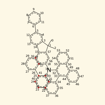 CC1(C)c2cc(-c3ccccc3)ccc2-c2ccc(N(c3ccccc3-c3ccccc3)c3c(-c4cccc5ccccc45)c4ccccc4c4ccccc34)cc21